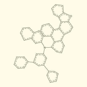 c1ccc(-c2cc(-c3ccccc3)cc(N(c3ccc4ccccc4c3)c3cccc4c5ccc6oc7ccccc7c6c5c5ccccc5c34)c2)cc1